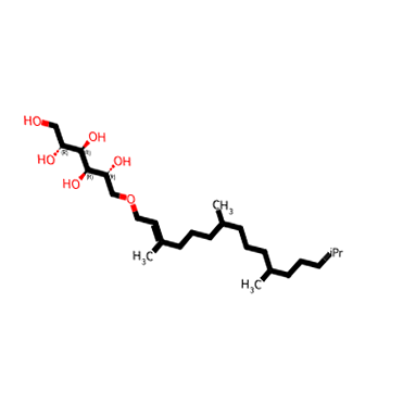 CC(=CCOC[C@@H](O)[C@@H](O)[C@H](O)[C@H](O)CO)CCCC(C)CCCC(C)CCCC(C)C